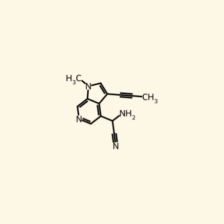 CC#Cc1cn(C)c2cncc(C(N)C#N)c12